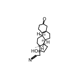 C[C@]12CC[C@@H]3C4=C(CC[C@H]3[C@@H]1CC[C@@]2(O)CC#N)CC(=O)CC4